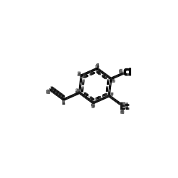 C=Cc1ccc(Cl)c(CC)c1